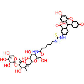 CC1C(O)C(O[C@@H]2OC[C@@H](O)C(O)C2O)[C@@H](C)O[C@H]1C[C@@H]1O[C@H](CO)C(NC(=O)CCCCCNC(=S)Nc2ccc(-c3c4ccc(=O)cc-4oc4cc(O)ccc34)c(C(=O)O)c2)C(O)C1O